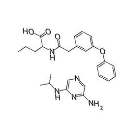 CC(C)Nc1cncc(N)n1.CCCC(NC(=O)Cc1cccc(Oc2ccccc2)c1)C(=O)O